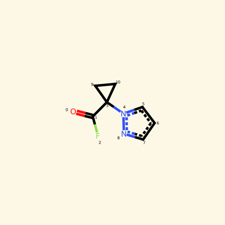 O=C(F)C1(n2cccn2)CC1